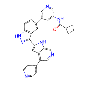 O=C(Nc1cncc(-c2ccc3[nH]nc(-c4cc5c(-c6ccncc6)cncc5[nH]4)c3c2)c1)C1CCC1